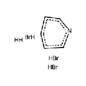 Br.Br.Br.[HH].c1ccncc1